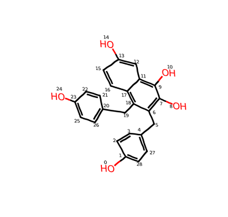 Oc1ccc(Cc2c(O)c(O)c3cc(O)ccc3c2Cc2ccc(O)cc2)cc1